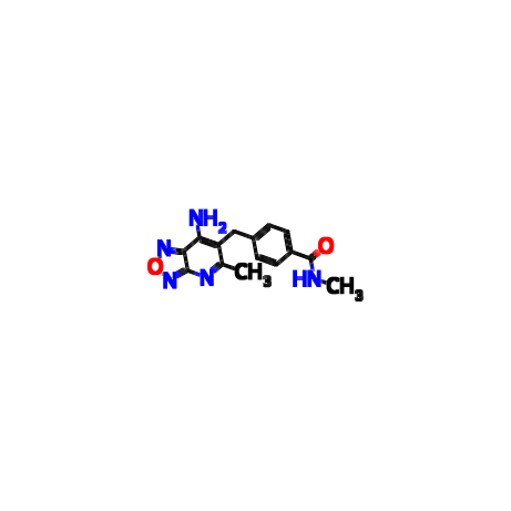 CNC(=O)c1ccc(Cc2c(C)nc3nonc3c2N)cc1